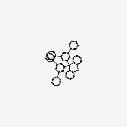 c1ccc(-c2cc(-c3ccccc3)cc(C3(c4cc(-c5ccccc5)cc(-c5ccccc5)c4)c4ccccc4Oc4ccccc43)c2)cc1